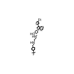 CCc1csc(-c2cn([C@@H]3C[C@H](CNCCCNCCc4ccc(C(C)(C)F)cc4)[C@@H](O)C3)c3ncncc23)c1